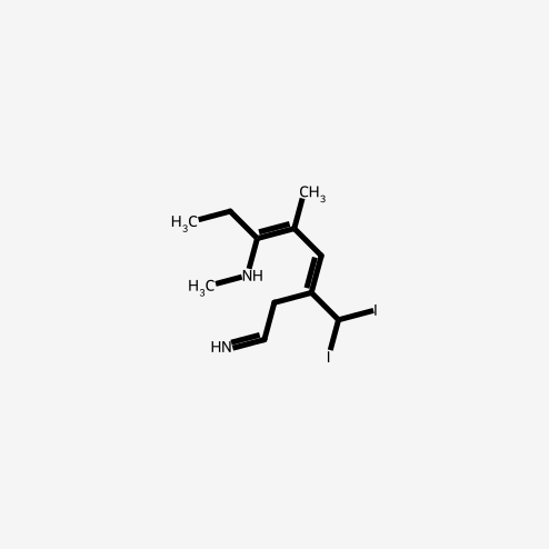 CC/C(NC)=C(C)/C=C(\CC=N)C(I)I